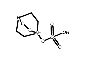 O=S(=O)(O)O[N+]12CCN(CC1)CC2